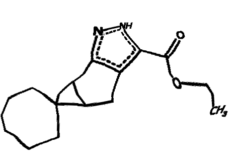 CCOC(=O)c1[nH]nc2c1CC1C2C12CCCCC2